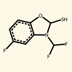 Fc1ccc2c(c1)N(C(F)F)C(S)O2